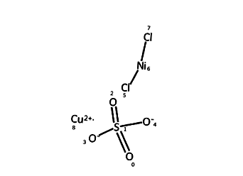 O=S(=O)([O-])[O-].[Cl][Ni][Cl].[Cu+2]